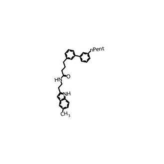 CCCCCc1cccc(-c2cccc(CCCC(=O)NCCc3cc4cc(C)ccc4[nH]3)c2)c1